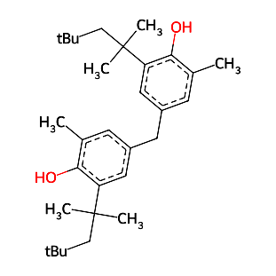 Cc1cc(Cc2cc(C)c(O)c(C(C)(C)CC(C)(C)C)c2)cc(C(C)(C)CC(C)(C)C)c1O